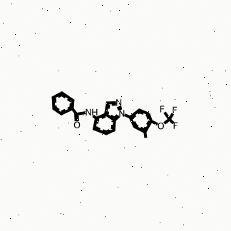 Cc1cc(-n2ncc3c(NC(=O)c4ccccc4)cccc32)ccc1OC(F)(F)F